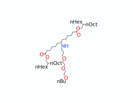 CCCCCCCCC(CCCCCC)COC(=O)CCCCCC(CCCCCC(=O)OCC(CCCCCC)CCCCCCCC)NCCCOCCOCCOCCCC